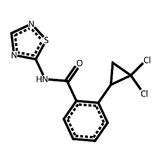 O=C(Nc1ncns1)c1ccccc1C1CC1(Cl)Cl